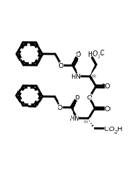 O=C(O)C[C@H](NC(=O)OCc1ccccc1)C(=O)OC(=O)[C@H](CC(=O)O)NC(=O)OCc1ccccc1